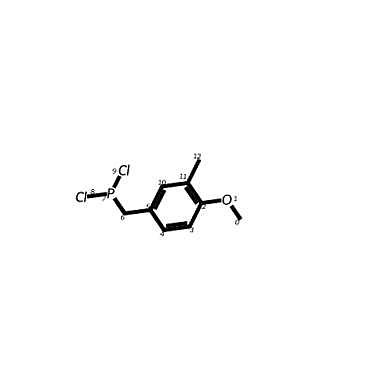 COc1ccc(CP(Cl)Cl)cc1C